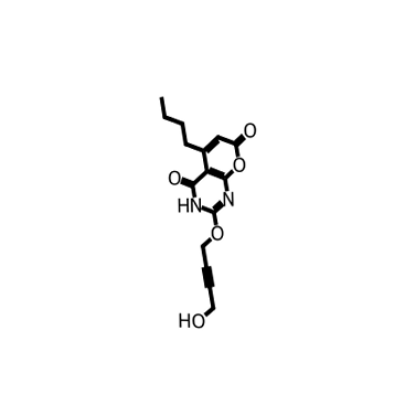 CCCCc1cc(=O)oc2nc(OCC#CCO)[nH]c(=O)c12